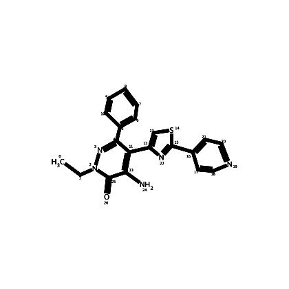 CCn1nc(-c2ccccc2)c(-c2csc(-c3ccncc3)n2)c(N)c1=O